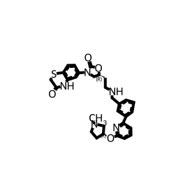 CN1CC[C@@H](Oc2cccc(-c3cccc(CNCC[C@@H]4CN(c5ccc6c(c5)NC(=O)CS6)C(=O)O4)c3)n2)C1